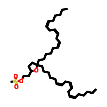 CCCCC/C=C\C/C=C\C/C=C\CCCCCC1(CCCCC/C=C\C/C=C\C/C=C\CCCCC)CCC(CCOS(C)(=O)=O)O1